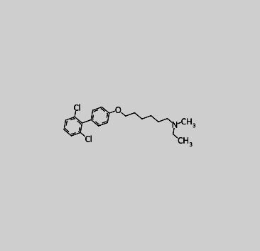 CCN(C)CCCCCCOc1ccc(-c2c(Cl)cccc2Cl)cc1